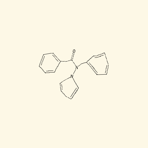 O=C(c1ccccc1)N(c1ccccc1)n1cccc1